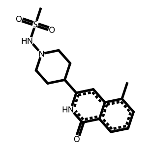 Cc1cccc2c(=O)[nH]c(C3CCN(NS(C)(=O)=O)CC3)cc12